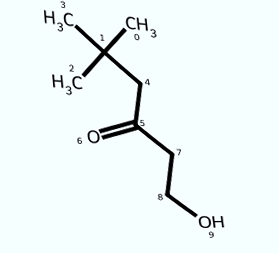 CC(C)(C)CC(=O)CCO